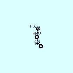 Cc1cc(C(=O)Nc2ccc(-c3nc(-c4ccccc4)no3)cc2)no1